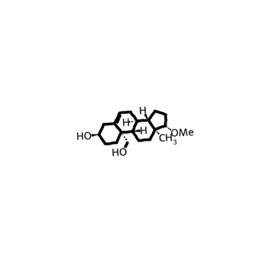 CO[C@H]1CC[C@H]2[C@@H]3CC=C4C[C@H](O)CC[C@]4(CO)[C@H]3CC[C@]12C